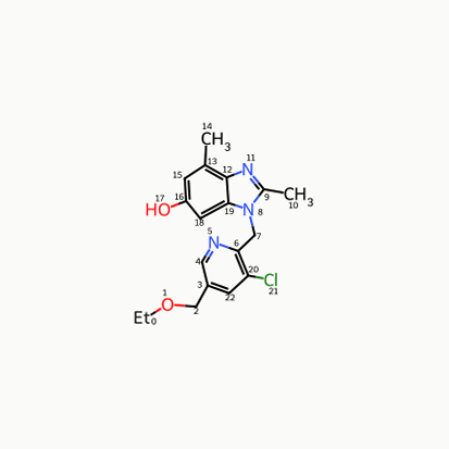 CCOCc1cnc(Cn2c(C)nc3c(C)cc(O)cc32)c(Cl)c1